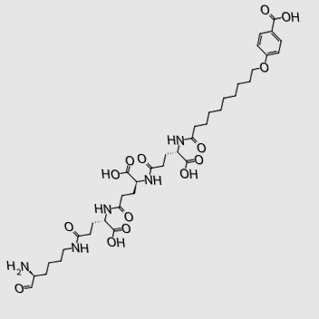 N[C@H](C=O)CCCCNC(=O)CC[C@H](NC(=O)CC[C@H](NC(=O)CC[C@H](NC(=O)CCCCCCCCCOc1ccc(C(=O)O)cc1)C(=O)O)C(=O)O)C(=O)O